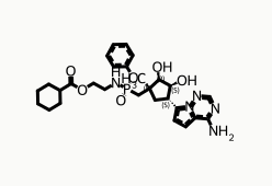 C[C@]1(CP(=O)(NCCOC(=O)C2CCCCC2)Oc2ccccc2)C[C@@H](c2ccc3c(N)ncnn23)[C@H](O)[C@@H]1O